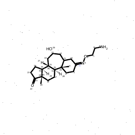 C[C@]12CC/C(=N/OCCN)CC1CCC[C@@H]1[C@@H]2CC[C@]2(C)C(=O)CC[C@@H]12.Cl